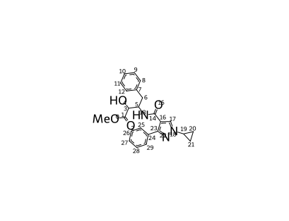 COC(=O)C(O)C(Cc1ccccc1)NC(=O)c1cn(C2CC2)nc1-c1ccccc1